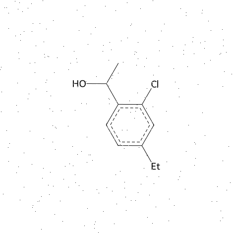 CCc1ccc(C(C)O)c(Cl)c1